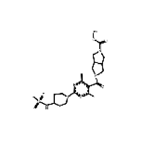 Cc1nc(N2CCC(NS(C)(=O)=O)CC2)nc(C)c1C(=O)N1CC2CN(C(=O)OC(C)(C)C)CC2C1